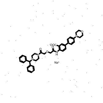 O=C(COCC(=O)N1CCN(C(c2ccccc2)c2ccccc2)CC1)Nc1ccc(-c2ccc(N3CCOCC3)cc2)cc1C(=O)[O-].[Na+]